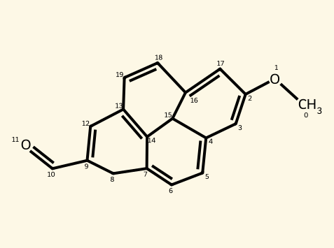 COC1=CC2=CC=C3CC(C=O)=CC4=C3C2C(=C1)C=C4